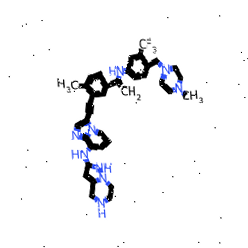 C=C(Nc1ccc(CN2CCN(C)CC2)c(C(F)(F)F)c1)c1ccc(C)c(C#Cc2cnc3c(NC4C=C5CNCCN5N4)cccn23)c1